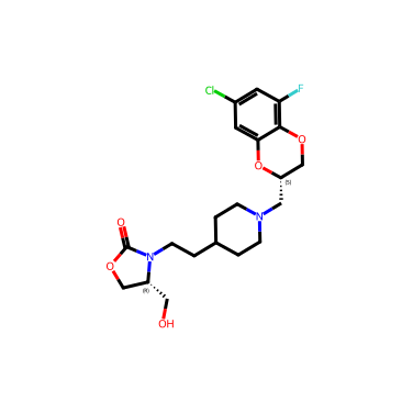 O=C1OC[C@@H](CO)N1CCC1CCN(C[C@H]2COc3c(F)cc(Cl)cc3O2)CC1